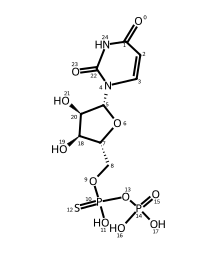 O=c1ccn([C@@H]2O[C@H](COP(O)(=S)OP(=O)(O)O)[C@@H](O)[C@H]2O)c(=O)[nH]1